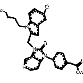 COC(=O)c1ccc(-n2c(=O)n(Cc3cc4cc(Cl)ccc4n3CCCC#N)c3cnccc32)cc1